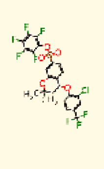 CC1(C)C[C@H](Oc2ccc(C(F)(F)F)cc2Cl)c2ccc(S(=O)(=O)Oc3c(F)c(F)c(F)c(F)c3F)cc2O1